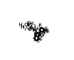 CC(C)(C)OC(=O)NCCc1nc2cccc(F)c2c(=O)n1-c1cc(F)cc(C(F)(F)F)c1